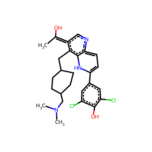 C/C(O)=c1/cnc2c(c1CC1CCC(CN(C)C)CC1)NC(c1cc(Cl)c(O)c(Cl)c1)=CC=2